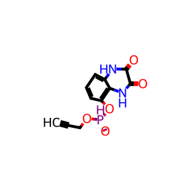 C#CCO[PH](=O)Oc1cccc2[nH]c(=O)c(=O)[nH]c12